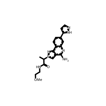 COCCNC(=O)C(C)n1cc2c(N)nc3cc(-c4ccn[nH]4)ccc3c2n1